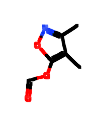 Cc1noc(OC=O)c1C